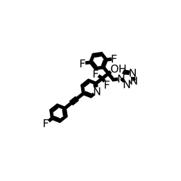 OC(Cn1cnnn1)(c1cc(F)ccc1F)C(F)(F)c1ccc(C#Cc2ccc(F)cc2)cn1